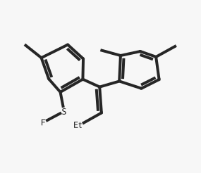 CC/C=C(/c1ccc(C)cc1C)c1ccc(C)cc1SF